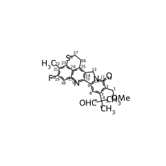 COCc1c(C(C)(C)C=O)cc2n(c1=O)Cc1c-2nc2cc(F)c(C)c3c2c1CCS3